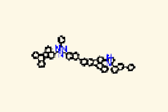 c1ccc(-c2ccc3c(-c4ccnc(-c5ccc6c7c(cc8ccccc8c57)-c5cc7ccc(-c8ccc9cc(-c%10nc(-c%11ccccc%11)nc(-c%11ccc%12c%13c(cccc%11%13)-c%11c-%12c%12ccccc%12c%12ccccc%11%12)n%10)ccc9c8)cc7cc5-6)n4)cccc3c2)cc1